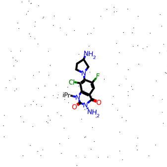 CC(C)n1c(=O)n(N)c(=O)c2cc(F)c(N3CCC(N)C3)c(Cl)c21